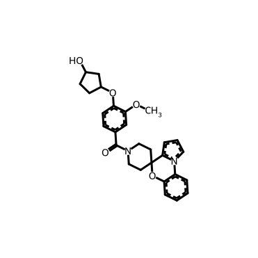 COc1cc(C(=O)N2CCC3(CC2)Oc2ccccc2-n2cccc23)ccc1OC1CCC(O)C1